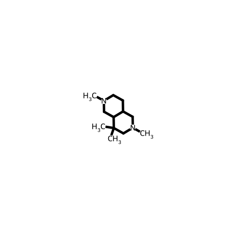 CN1CCC2CN(C)CC(C)(C)C2C1